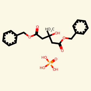 O=C(CC(O)(CC(=O)OCc1ccccc1)C(=O)O)OCc1ccccc1.O=P(O)(O)O